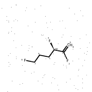 C=C(F)[C@H](F)CCCF